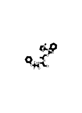 CC/C=C(\N=C(/C)COc1nc2ccccc2n1-c1nccn1C)NC(=O)C(F)(F)Oc1ccccc1